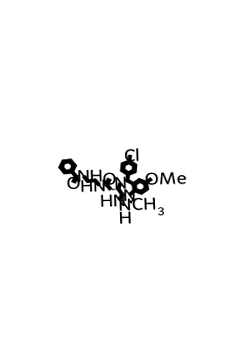 COc1ccc2c(c1)C(c1ccc(Cl)cc1)=N[C@@H](CC(=O)NCCNC(=O)c1ccccc1)C1NNC(C)N21